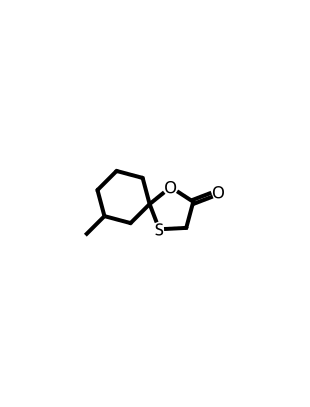 CC1CCCC2(C1)OC(=O)CS2